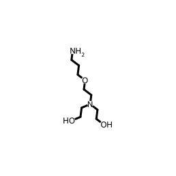 NCCCOCCN(CCO)CCO